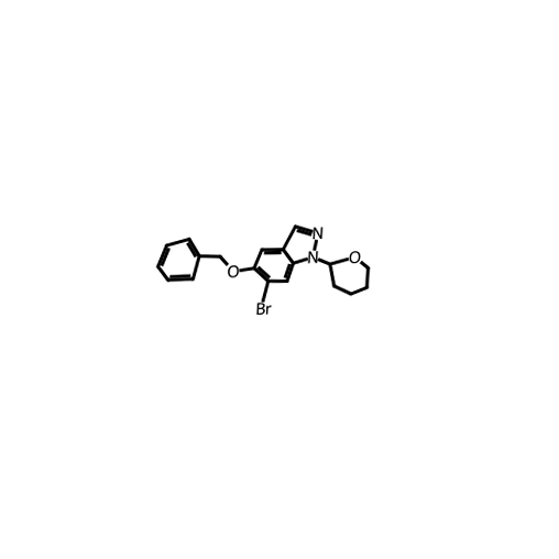 Brc1cc2c(cnn2C2CCCCO2)cc1OCc1ccccc1